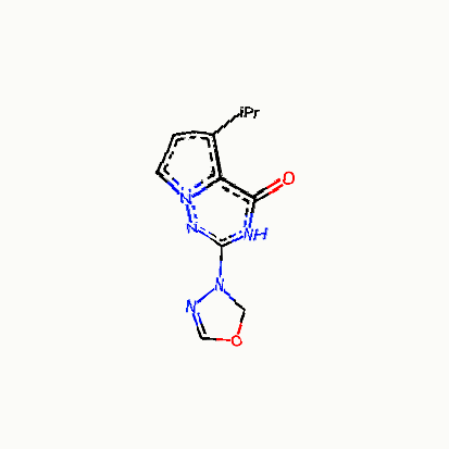 CC(C)c1ccn2nc(N3COC=N3)[nH]c(=O)c12